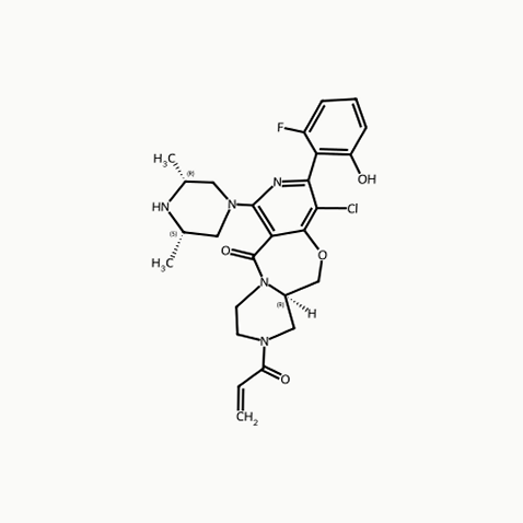 C=CC(=O)N1CCN2C(=O)c3c(N4C[C@@H](C)N[C@@H](C)C4)nc(-c4c(O)cccc4F)c(Cl)c3OC[C@H]2C1